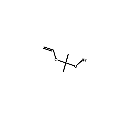 [CH2]C(C)OC(C)(C)OC=C